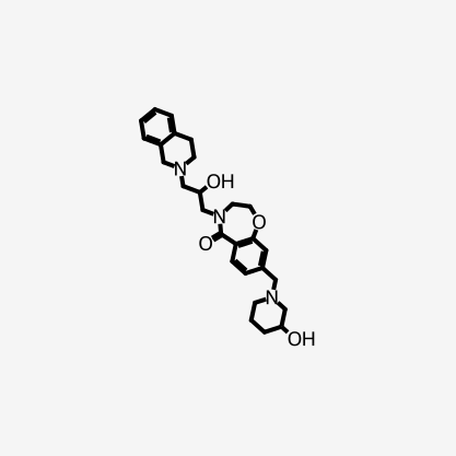 O=C1c2ccc(CN3CCCC(O)C3)cc2OCCN1CC(O)CN1CCc2ccccc2C1